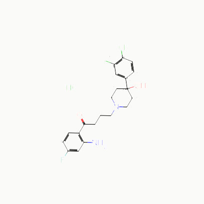 Cl.Nc1cc(F)ccc1C(=O)CCCN1CCC(O)(c2ccc(Cl)c(Cl)c2)CC1